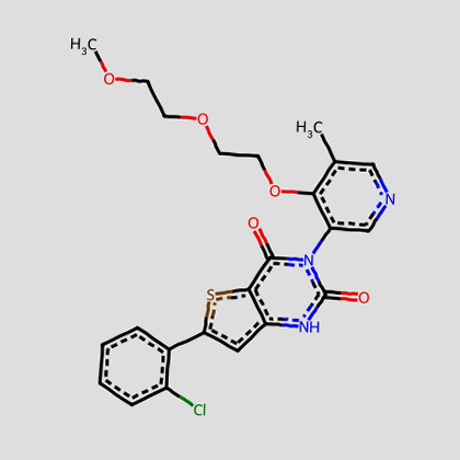 COCCOCCOc1c(C)cncc1-n1c(=O)[nH]c2cc(-c3ccccc3Cl)sc2c1=O